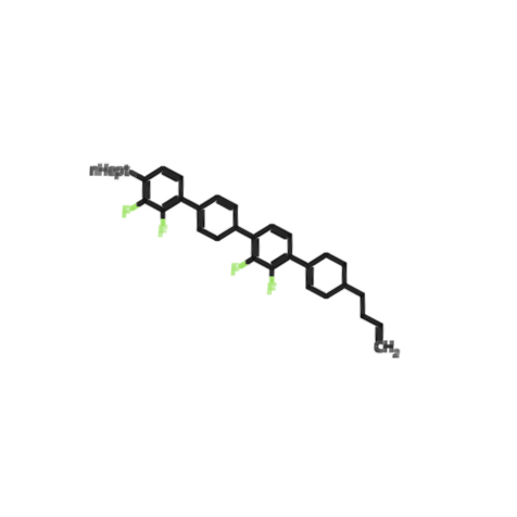 C=CCCC1CC=C(c2ccc(C3C=CC(c4ccc(CCCCCCC)c(F)c4F)=CC3)c(F)c2F)CC1